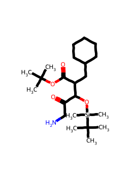 CC(C)(C)OC(=O)C(CC1CCCCC1)C(O[Si](C)(C)C(C)(C)C)C(=O)CN